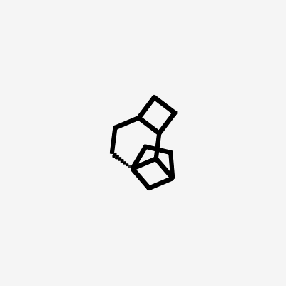 C1CC2C1CC[C@@]13CCC(C1)C23